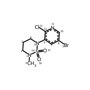 CN1CCCN(c2cc(Br)cnc2Cl)S1(=O)=O